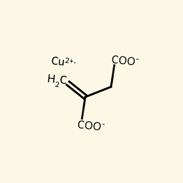 C=C(CC(=O)[O-])C(=O)[O-].[Cu+2]